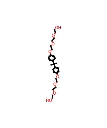 CC(C)(c1ccc(OCCOCCOCCO)cc1)c1ccc(OCCOCCOCCO)cc1